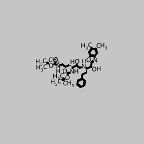 Cc1cc2nc(C(O)[C@@H](CCc3ccccc3)NCC(O)[C@@H](CCCNC(=O)OC(C)(C)C)NC(=O)OC(C)(C)C)oc2cc1C